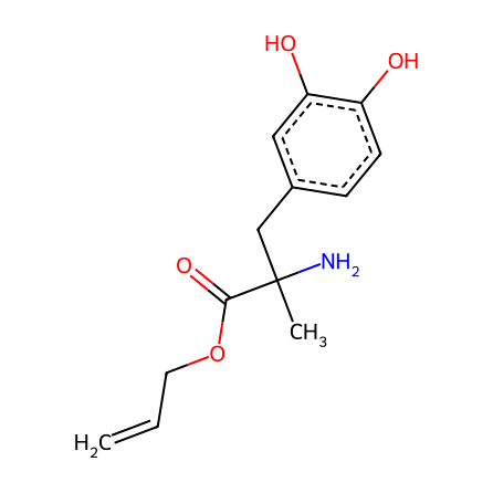 C=CCOC(=O)C(C)(N)Cc1ccc(O)c(O)c1